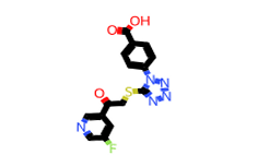 O=C(O)c1ccc(-n2nnnc2SCC(=O)c2cncc(F)c2)cc1